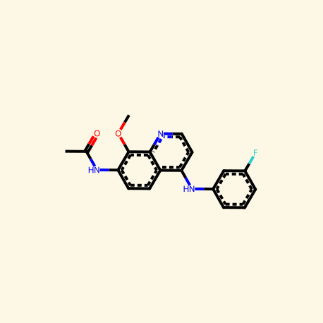 COc1c(NC(C)=O)ccc2c(Nc3cccc(F)c3)ccnc12